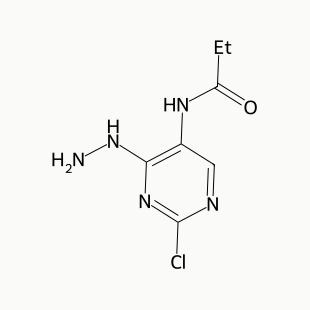 CCC(=O)Nc1cnc(Cl)nc1NN